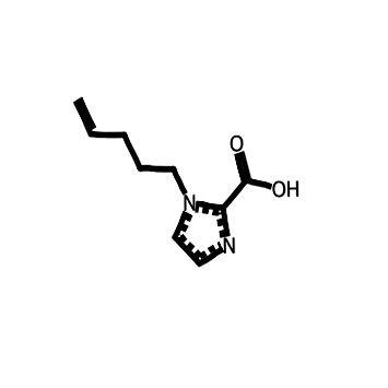 C=CCCCn1ccnc1C(=O)O